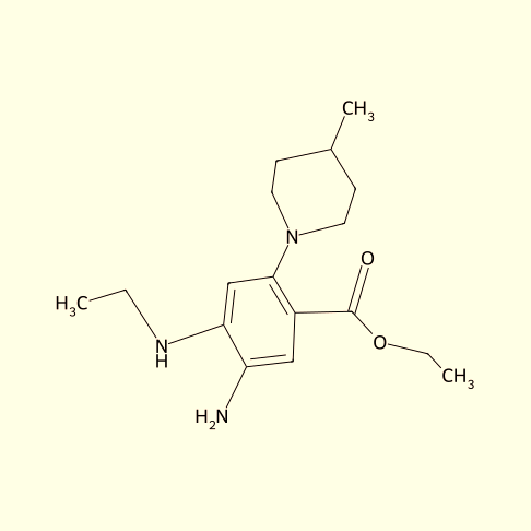 CCNc1cc(N2CCC(C)CC2)c(C(=O)OCC)cc1N